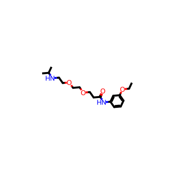 CCOc1cccc(NC(=O)CCOCCOCCNC(C)C)c1